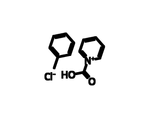 Cc1ccccc1.O=C(O)[n+]1ccccc1.[Cl-]